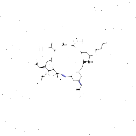 CCCC(=O)OC1CC2CC(O)CC(=O)OC(C(C)O)CC3C/C(=C\C(=O)OC)C(OC(C)=O)C(O)(O3)C(C)(C)/C=C/C3C/C(=C\C(=O)OC)CC(CC(O)(O2)C1(C)C)O3